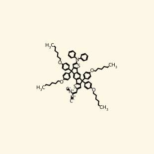 [C-]#[N+]C(=Cc1cc2c(s1)-c1cc3c(cc1C2(c1ccc(OCCCCCC)cc1)c1ccc(OCCCCCC)cc1)-c1sc(N(c2ccccc2)c2ccccc2)cc1C3(c1ccc(OCCCCCC)cc1)c1ccc(OCCCCCC)cc1)[N+]#[C-]